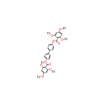 CCOc1cc(OCC)c(C(=O)Oc2ccc(-c3ccc(OC(=O)c4c(OCC)cc(OCC)cc4OCC)cc3)cc2)c(OCC)c1